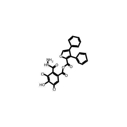 NNC(=O)c1c(C(=O)OC(=O)c2occ(-c3ccccc3)c2-c2ccccc2)cc(Cl)c(O)c1Cl